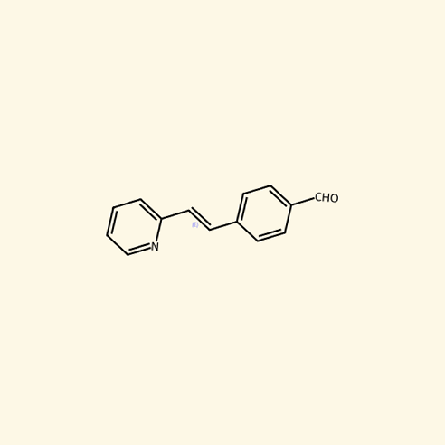 O=Cc1ccc(/C=C/c2ccccn2)cc1